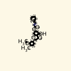 COc1cc([C@@H]2CC(=O)c3c(O)cc(OC(=O)/C=C/c4ccccn4)cc3O2)ccc1C